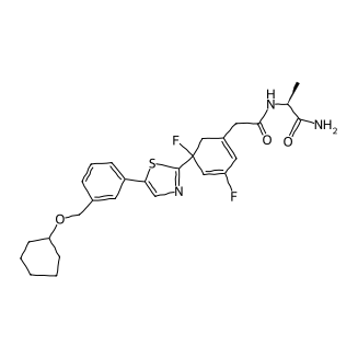 C[C@H](NC(=O)CC1=CC(F)=CC(F)(c2ncc(-c3cccc(COC4CCCCC4)c3)s2)C1)C(N)=O